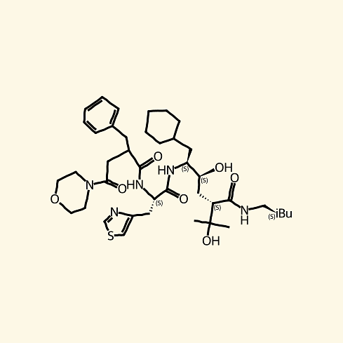 CC[C@H](C)CNC(=O)[C@@H](C[C@H](O)[C@H](CC1CCCCC1)NC(=O)[C@H](Cc1cscn1)NC(=O)C(CC(=O)N1CCOCC1)Cc1ccccc1)C(C)(C)O